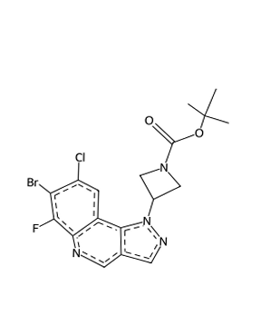 CC(C)(C)OC(=O)N1CC(n2ncc3cnc4c(F)c(Br)c(Cl)cc4c32)C1